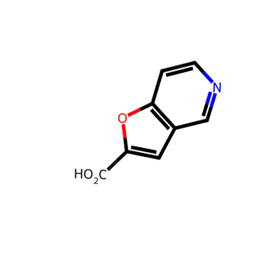 O=C(O)c1cc2cnccc2o1